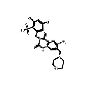 CCS(=O)(=O)c1c(Cl)cc(Cl)cc1Cn1c(=O)[nH]c2cc(CN3CCNCC3)c(C(F)(F)F)cc2c1=O